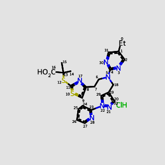 CCc1cnc(N(CCc2csc(SC(C)(C)C(=O)O)n2)Cc2cnn(-c3ccccn3)c2)nc1.Cl